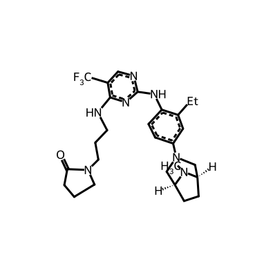 CCc1cc(N2C[C@H]3CC[C@@H](C2)N3C)ccc1Nc1ncc(C(F)(F)F)c(NCCCN2CCCC2=O)n1